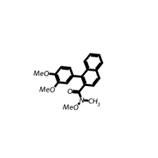 COc1ccc(-c2c(C(=O)N(C)OC)ccc3ccccc23)cc1OC